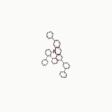 c1ccc(-c2cccc(-c3ccc(N(c4cccc(-c5ccccc5)c4)c4cccc(-c5ccccc5)c4-c4ccccc4-c4ccccc4)cc3)c2)cc1